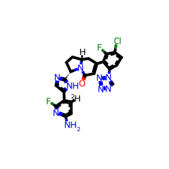 [2H]c1cc(N)nc(F)c1-c1cnc([C@@H]2CC[C@@H]3CC(c4c(-n5cnnn5)ccc(Cl)c4F)=CC(=O)N32)[nH]1